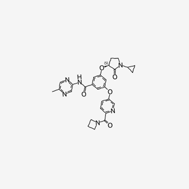 Cc1cnc(NC(=O)c2cc(Oc3ccc(C(=O)N4CCC4)nc3)cc(O[C@H]3CCN(C4CC4)C3=O)c2)cn1